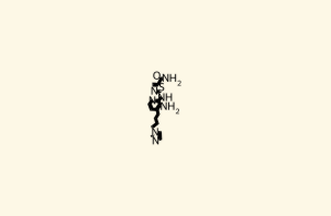 NC(=O)c1cnc(Nc2nccc(CCCCn3ccnc3)c2N)s1